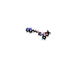 O=C(O)C(c1cc(F)ccc1C1CCC2(CC2)CO1)N1CC[C@@H](OCCCCc2ccc3c(n2)NCCC3)C1